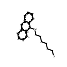 BrCCCCCCOc1c2ccccc2cc2ccccc12